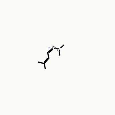 CC(C)=C/C=N\N(C)C